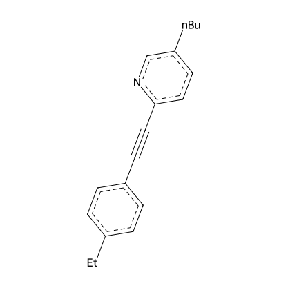 CCCCc1ccc(C#Cc2ccc(CC)cc2)nc1